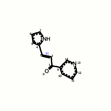 O=C(/C=C/c1ccc[nH]1)c1cccnc1